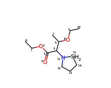 CCOC(=O)C(C(C)OCC)N1CCC[SiH2]1